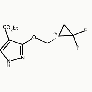 CCOC(=O)c1c[nH]nc1OC[C@@H]1CC1(F)F